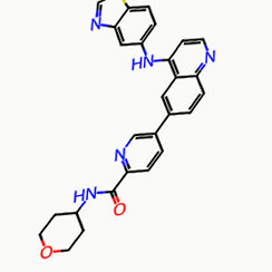 O=C(NC1CCOCC1)c1ccc(-c2ccc3nccc(Nc4ccc5scnc5c4)c3c2)cn1